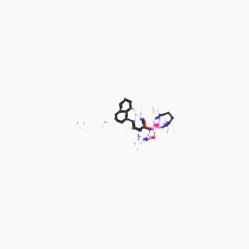 COCOc1cc(-c2ncc3c(N4C[C@H]5CC[C@@H](C4)N5C(=O)OC(C)(C)C)nc(SC)nc3c2F)c2c(Cl)cccc2c1